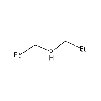 [CH2]CCPCCC